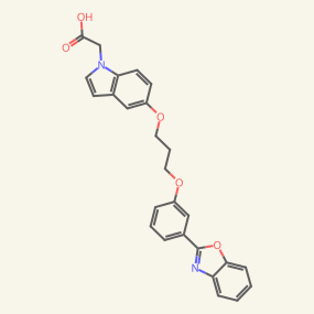 O=C(O)Cn1ccc2cc(OCCCOc3cccc(-c4nc5ccccc5o4)c3)ccc21